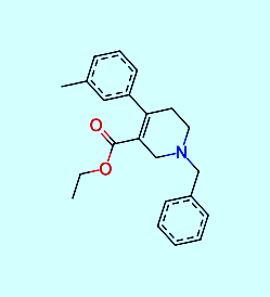 CCOC(=O)C1=C(c2cccc(C)c2)CCN(Cc2ccccc2)C1